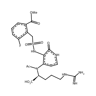 COC(=O)c1cccc(F)c1CS(=O)(=O)Nc1c(N(C(C)=O)[C@@H](CCCNC(=N)N)C(=O)O)cc[nH]c1=O